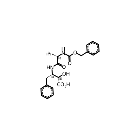 CC(C)[C@H](NC(=O)OCc1ccccc1)C(=O)N[C@@H](Cc1ccccc1)[C@H](O)C(=O)O